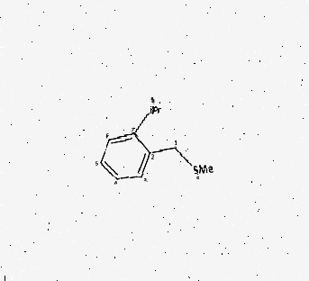 CSCc1ccccc1C(C)C